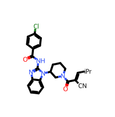 CC(C)C=C(C#N)C(=O)N1CCCC(n2c(NC(=O)c3ccc(Cl)cc3)nc3ccccc32)C1